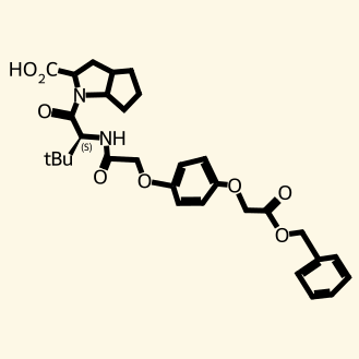 CC(C)(C)[C@H](NC(=O)COc1ccc(OCC(=O)OCc2ccccc2)cc1)C(=O)N1C(C(=O)O)CC2CCCC21